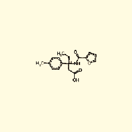 CC[C@](CC(=O)O)(NC(=O)c1ccco1)c1ccc(C)cc1